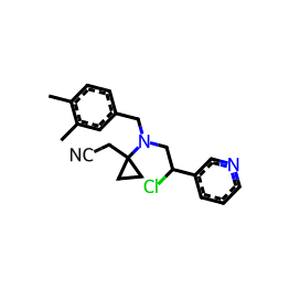 Cc1ccc(CN(CC(Cl)c2cccnc2)C2(CC#N)CC2)cc1C